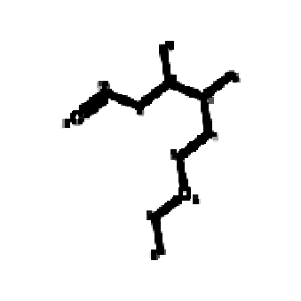 CCOCCC(C)C(C)CC=O